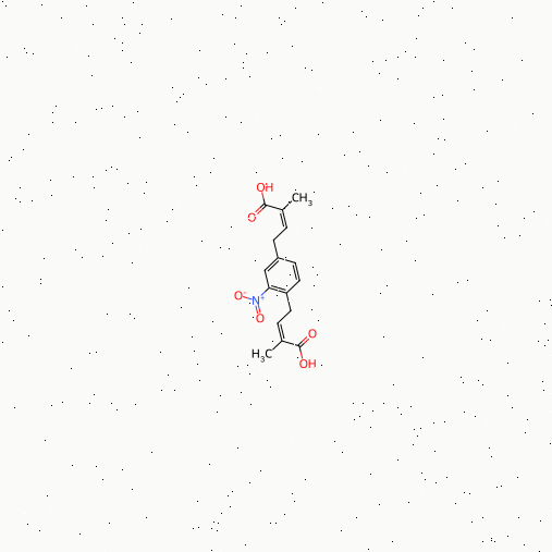 CC(=CCc1ccc(CC=C(C)C(=O)O)c([N+](=O)[O-])c1)C(=O)O